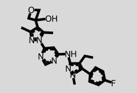 CCc1c(Nc2cc(-n3nc(C)c(C4(O)COC4)c3C)ncn2)nn(C)c1-c1ccc(F)cc1